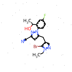 CCn1ncc(Cc2cc(C#N)nn2-c2ccc(F)cc2C(C)O)c1Br